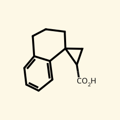 O=C(O)C1CC12CCCc1ccccc12